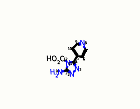 Nc1nnc(-c2ccncc2)n1C(=O)O